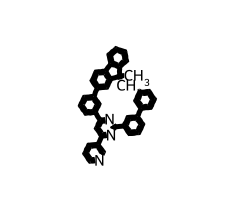 CC1(C)c2ccccc2-c2ccc(-c3cccc(-c4cc(-c5cccnc5)nc(-c5cccc(-c6ccccc6)c5)n4)c3)cc21